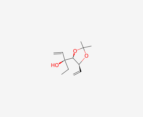 C=C[C@@H]1OC(C)(C)O[C@@H]1[C@@](O)(C=C)CC